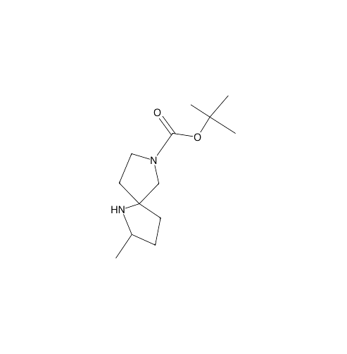 CC1CCC2(CCN(C(=O)OC(C)(C)C)C2)N1